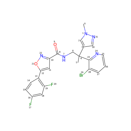 Cn1cc(C(C)(CNC(=O)c2cc(-c3ccc(F)cc3F)on2)c2ncccc2Br)cn1